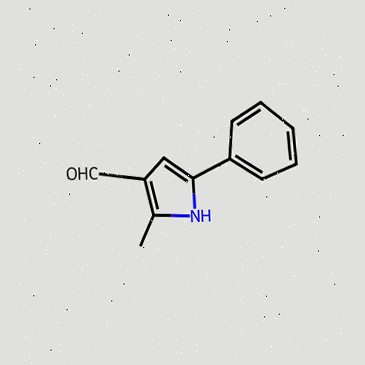 Cc1[nH]c(-c2ccccc2)cc1C=O